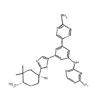 CC1(C)C[C@@](O)(c2ncc(-c3cc(Nc4nccc(C(F)(F)F)n4)cc(-c4ccc(N)nc4)c3)s2)CC[C@@H]1C(=O)O